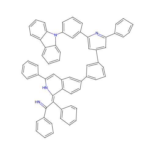 N=C(/C(=C1\NC(c2ccccc2)=Cc2cc(-c3cccc(-c4cc(-c5ccccc5)nc(-c5cccc(-n6c7ccccc7c7ccccc76)c5)c4)c3)ccc21)c1ccccc1)c1ccccc1